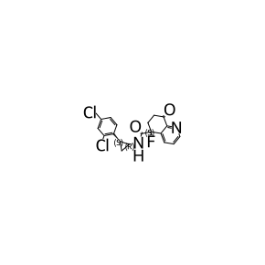 O=C1CC[C@@](F)(C(=O)N[C@@H]2C[C@H]2c2ccc(Cl)cc2Cl)c2cccnc21